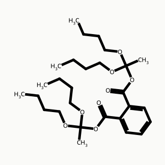 CCCCOC(C)(OCCCC)OC(=O)c1ccccc1C(=O)OC(C)(OCCCC)OCCCC